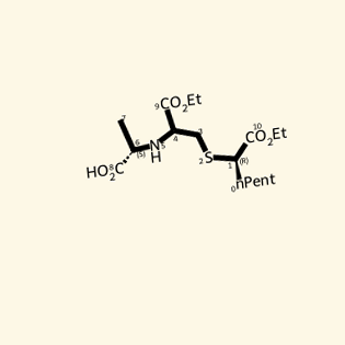 CCCCC[C@@H](SCC(N[C@@H](C)C(=O)O)C(=O)OCC)C(=O)OCC